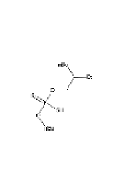 CCCCOP(=S)(S)OCC(CC)CCCC